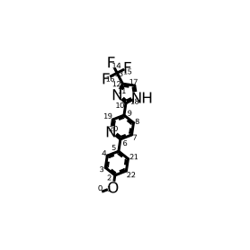 COc1ccc(-c2ccc(-c3nc(C(F)(F)F)c[nH]3)cn2)cc1